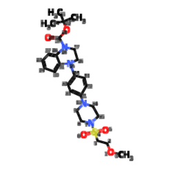 COCCS(=O)(=O)N1CCN(c2ccc(N3CCN(C(=O)OC(C)(C)C)c4ccccc43)cc2)CC1